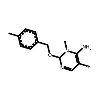 Cc1ccc(COC2N=CC(F)=C(N)N2C)cc1